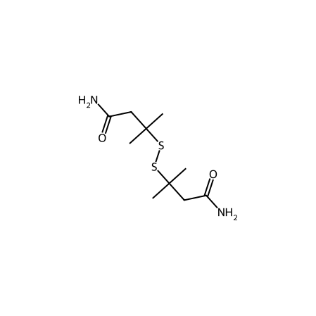 CC(C)(CC(N)=O)SSC(C)(C)CC(N)=O